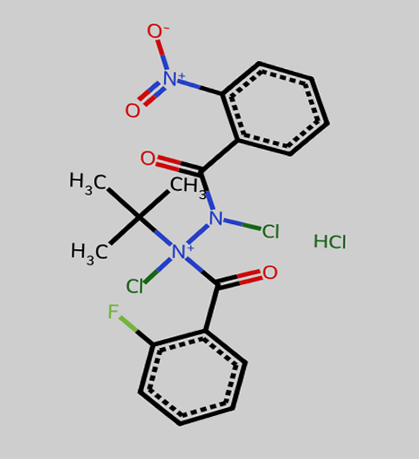 CC(C)(C)[N+](Cl)(C(=O)c1ccccc1F)N(Cl)C(=O)c1ccccc1[N+](=O)[O-].Cl